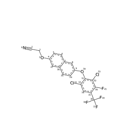 N#CCOc1ccc2cc(Oc3c(Cl)cc(C(F)(F)F)c(F)c3Cl)ccc2c1